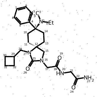 CCN(C)[C@]1(c2ccccc2)CC[C@]2(CC1)CN(CC(=O)NCC(N)=O)C(=O)N2CC1CCC1